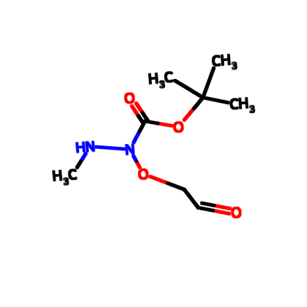 CNN(OCC=O)C(=O)OC(C)(C)C